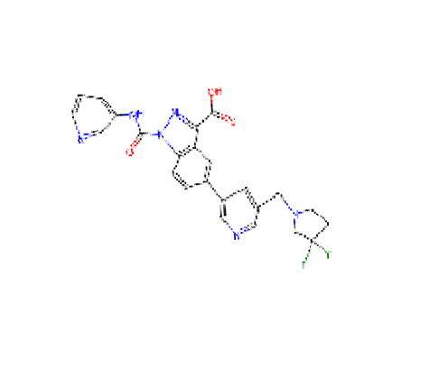 O=C(O)c1nn(C(=O)Nc2cccnc2)c2ccc(-c3cncc(CN4CCC(F)(F)C4)c3)cc12